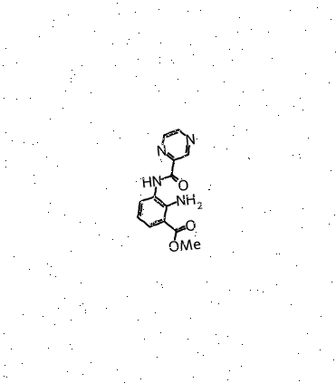 COC(=O)c1cccc(NC(=O)c2cnccn2)c1N